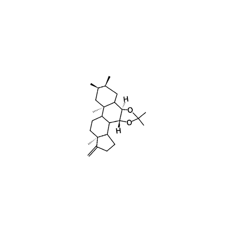 C=C1CCC2C3C(CC[C@]12C)[C@@]1(C)C[C@@H](C)[C@@H](C)CC1[C@H]1OC(C)(C)O[C@H]31